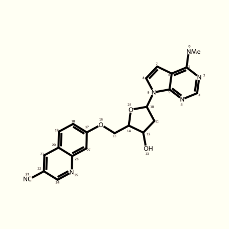 CNc1ncnc2c1ccn2C1CC(O)C(COc2ccc3cc(C#N)cnc3c2)O1